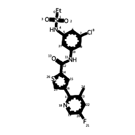 CCS(=O)(=O)Nc1cc(Cl)cc(NC(=O)c2cc(-c3ncc(F)cc3C)cs2)c1